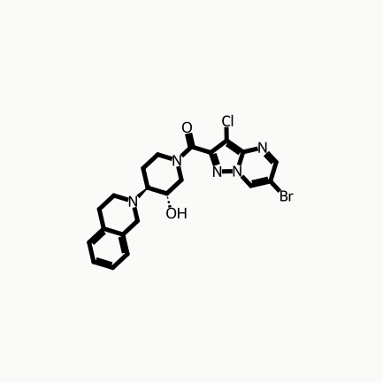 O=C(c1nn2cc(Br)cnc2c1Cl)N1CC[C@H](N2CCc3ccccc3C2)[C@@H](O)C1